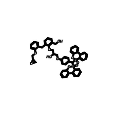 O=P1(C(c2ccc(OCC(O)COc3c(CO)cccc3Cc3ccccc3OCC3CO3)cc2)P2(=O)Oc3ccccc3-c3ccccc32)Oc2ccccc2-c2ccccc21